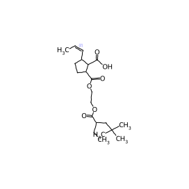 C/C=C\C1CCC(C(=O)OCCOC(=O)C(CC)CC(C)(C)C)C1C(=O)O